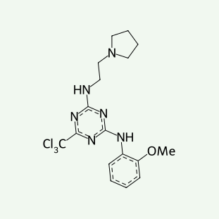 COc1ccccc1Nc1nc(NCCN2CCCC2)nc(C(Cl)(Cl)Cl)n1